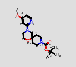 COc1ccnc(N2CCOC3(CCN(C(=O)OC(C)(C)C)CC3)C2)c1